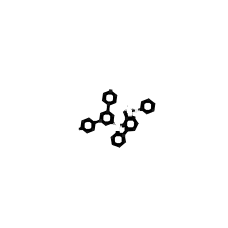 Fc1ccc(-c2cc(-c3ccc(F)cc3)cc(-n3c4ccccc4c4ccc5c(cnn5-c5ccccc5)c43)c2)cc1